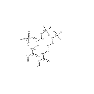 C=CC(=O)NCCCC[N+](C)(C)C.C=CC(=O)NCCCC[N+](C)(C)C.O=S(=O)([O-])[O-]